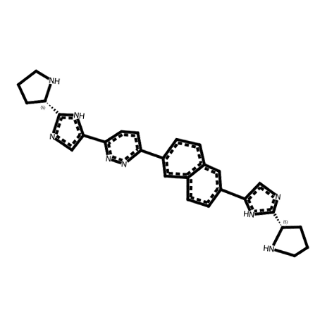 c1cc2cc(-c3cnc([C@@H]4CCCN4)[nH]3)ccc2cc1-c1ccc(-c2cnc([C@@H]3CCCN3)[nH]2)nn1